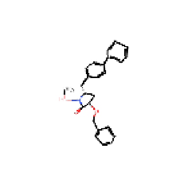 O=CBN1C(=O)[C@H](OCc2ccccc2)C[C@H]1Cc1ccc(-c2ccccc2)cc1